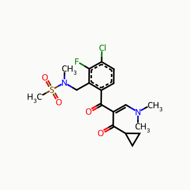 CN(C)C=C(C(=O)c1ccc(Cl)c(F)c1CN(C)S(C)(=O)=O)C(=O)C1CC1